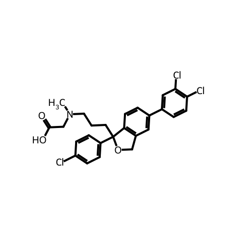 CN(CCCC1(c2ccc(Cl)cc2)OCc2cc(-c3ccc(Cl)c(Cl)c3)ccc21)CC(=O)O